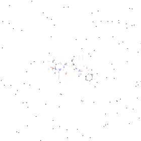 CCc1cn([C@H]2C[C@H](O)[C@@H](CNC(=O)Cc3c(C)c(C)cc(C)c3C)O2)c(=O)[nH]c1=O